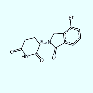 CCc1cccc2c1CN([C@H]1CCC(=O)NC1=O)C2=O